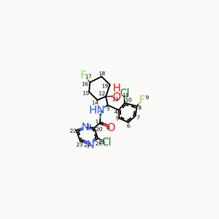 O=C(NC(c1cccc(F)c1Cl)[C@]1(O)CC[C@@H](F)CC1)c1nccnc1Cl